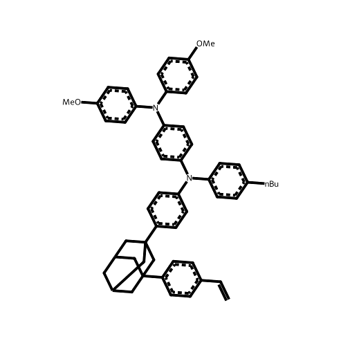 C=Cc1ccc(C23CC4CC(C2)CC(c2ccc(N(c5ccc(CCCC)cc5)c5ccc(N(c6ccc(OC)cc6)c6ccc(OC)cc6)cc5)cc2)(C4)C3)cc1